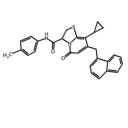 Cc1ccc(NC(=O)C2CSc3c(C4CC4)c(Cc4cccc5ccccc45)cc(=O)n32)cc1